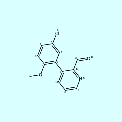 COc1ccc(Cl)cc1-c1cccnc1C=O